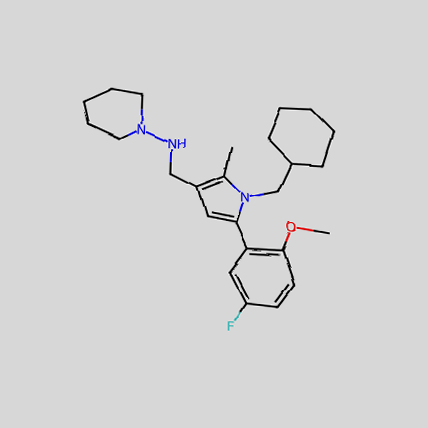 COc1ccc(F)cc1-c1cc(CNN2CCCCC2)c(C)n1CC1CCCCC1